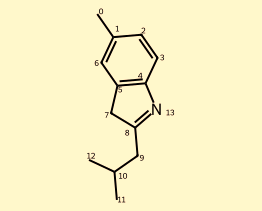 Cc1ccc2c(c1)CC(CC(C)C)=N2